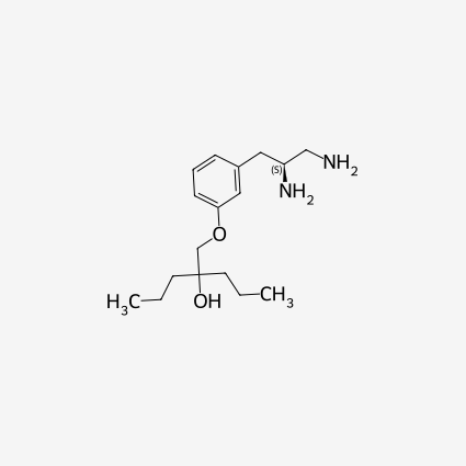 CCCC(O)(CCC)COc1cccc(C[C@H](N)CN)c1